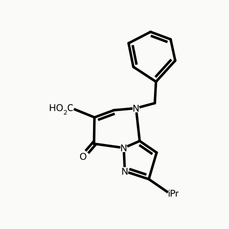 CC(C)c1cc2n(Cc3ccccc3)cc(C(=O)O)c(=O)n2n1